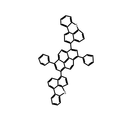 c1ccc(-c2cc(-c3ccc4c5c(cccc35)-c3ccccc3S4)c3ccc4c(-c5ccccc5)cc(-c5ccc6c7c(cccc57)Sc5ccccc5-6)c5ccc2c3c45)cc1